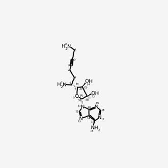 NCC#CCCC(N)[C@H]1O[C@@H](n2cnc3c(N)ncnc32)[C@H](O)[C@@H]1O